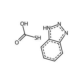 O=C(O)S.c1ccc2[nH]nnc2c1